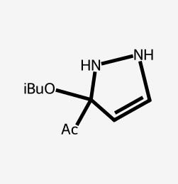 CC(=O)C1(OCC(C)C)C=CNN1